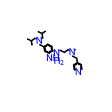 CC(C)CN(Cc1ccc(NCCCN(C)CCc2ccncc2)c(N)c1)CC(C)C